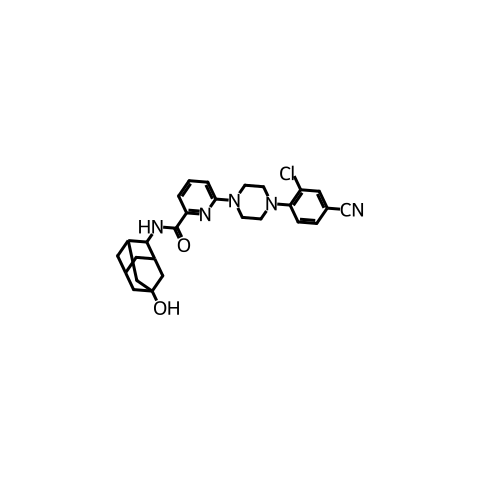 N#Cc1ccc(N2CCN(c3cccc(C(=O)NC4C5CC6CC4CC(O)(C6)C5)n3)CC2)c(Cl)c1